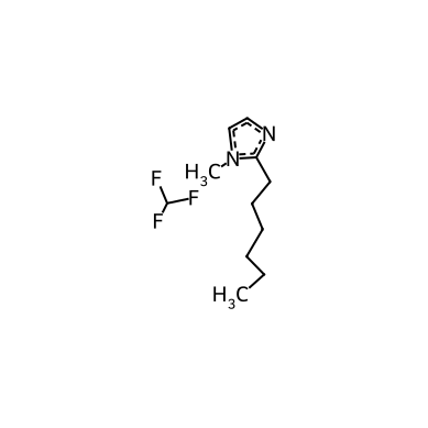 CCCCCCc1nccn1C.FC(F)F